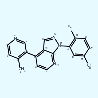 Cc1ccncc1-c1ccnc2c1cnn2-c1cc(Cl)ccc1F